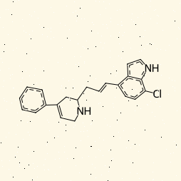 Clc1ccc(C=CCC2CC(c3ccccc3)=CCN2)c2cc[nH]c12